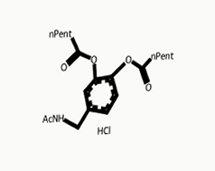 CCCCCC(=O)Oc1ccc(CNC(C)=O)cc1OC(=O)CCCCC.Cl